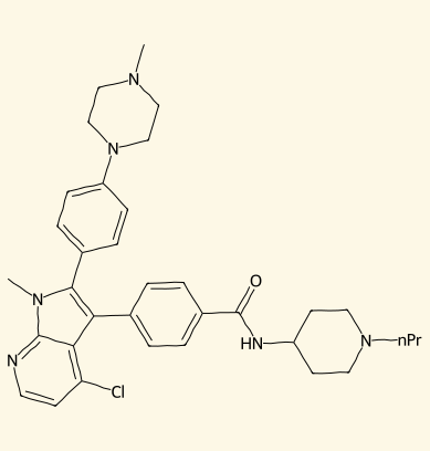 CCCN1CCC(NC(=O)c2ccc(-c3c(-c4ccc(N5CCN(C)CC5)cc4)n(C)c4nccc(Cl)c34)cc2)CC1